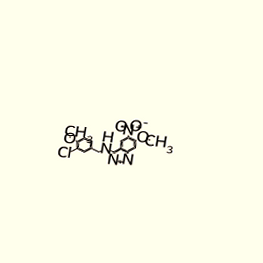 COc1ccc(CNc2ncnc3cc(OC)c([N+](=O)[O-])cc23)cc1Cl